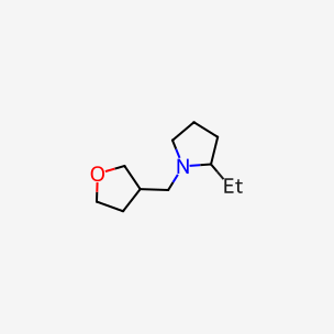 CCC1CCCN1CC1CCOC1